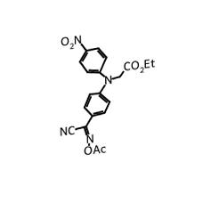 CCOC(=O)CN(c1ccc(/C(C#N)=N/OC(C)=O)cc1)c1ccc([N+](=O)[O-])cc1